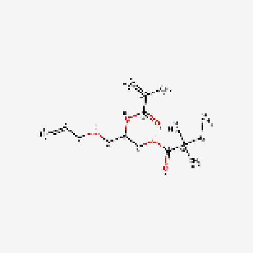 C=CCOCC(COC(=O)C(C)(C)CC)OC(=O)C(=C)C